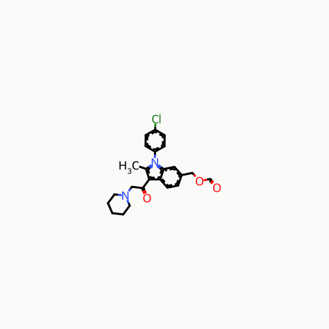 Cc1c(C(=O)CN2CCCCC2)c2ccc(COC=O)cc2n1-c1ccc(Cl)cc1